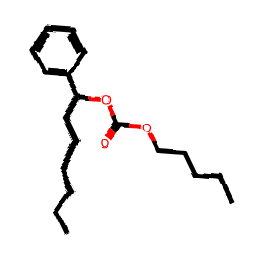 CCCCCCC(OC(=O)OCCCCC)c1ccccc1